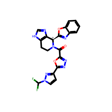 O=C(c1nnc(-c2ccn(C(F)F)n2)o1)N1CCc2[nH]cnc2[C@H]1c1nc2ccccc2o1